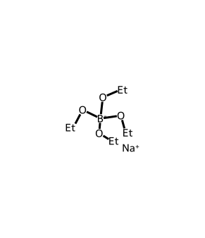 CCO[B-](OCC)(OCC)OCC.[Na+]